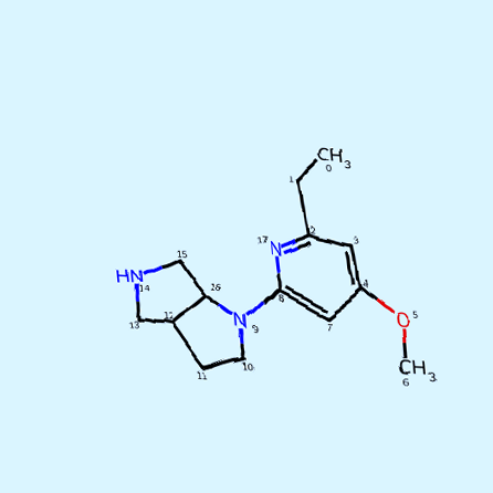 CCc1cc(OC)cc(N2CCC3CNCC32)n1